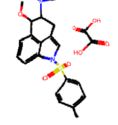 COC1c2cccc3c2c(cn3S(=O)(=O)c2ccc(C)cc2)CC1N(C)C.O=C(O)C(=O)O